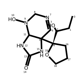 CCC(O)[C@@]1(C23C=NCN(O)C2NC(=O)N3)CCCO1